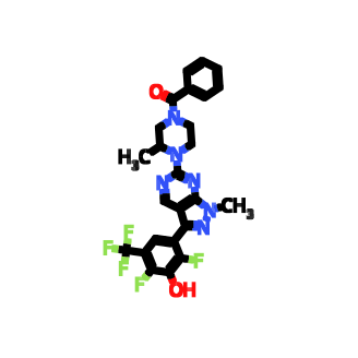 CC1CN(C(=O)c2ccccc2)CCN1c1ncc2c(-c3cc(C(F)(F)F)c(F)c(O)c3F)nn(C)c2n1